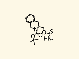 CNC(=S)OCC1Cc2ccccc2CN1C(=O)OC(C)(C)C